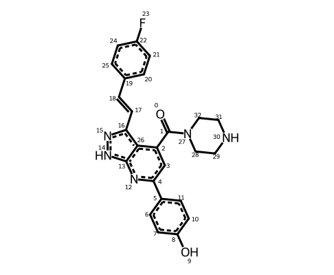 O=C(c1cc(-c2ccc(O)cc2)nc2[nH]nc(C=Cc3ccc(F)cc3)c12)N1CCNCC1